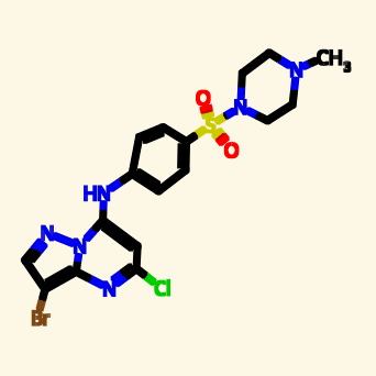 CN1CCN(S(=O)(=O)c2ccc(Nc3cc(Cl)nc4c(Br)cnn34)cc2)CC1